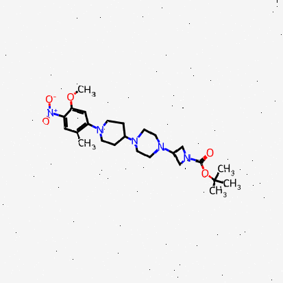 COc1cc(N2CCC(N3CCN(C4CN(C(=O)OC(C)(C)C)C4)CC3)CC2)c(C)cc1[N+](=O)[O-]